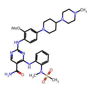 COc1cc(N2CCC(N3CCN(C)CC3)CC2)ccc1Nc1ncc(C(N)=O)c(Nc2ccccc2N(C)S(C)(=O)=O)n1